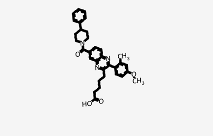 COc1ccc(-c2nc3ccc(C(=O)N4CCC(c5ccccc5)CC4)cc3nc2CCCCC(=O)O)c(C)c1